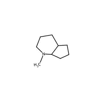 CN1CCCC2CCCC21